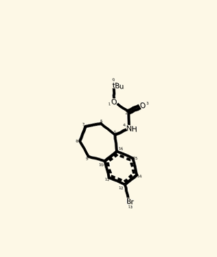 CC(C)(C)OC(=O)NC1CCCCc2cc(Br)ccc21